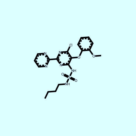 CCCCNS(=O)(=O)Nc1nc(-c2ncccn2)nc(Cl)c1Oc1ccccc1OC